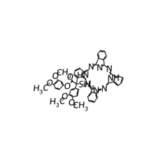 COc1ccc(OC(=O)C([SiH3])(c2ccc(OC)c(OC)c2)c2cccc3c4nc5nc(nc6[nH]c(nc7nc(nc([nH]4)c23)-c2ccccc2-7)c2ccccc62)-c2ccccc2-5)cc1OC